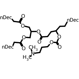 CCCCCCCCCCCCC(CCC(=O)OC(COC(=O)CCCCCCCCCCC)COC(=O)CCCCCCCCCCC)OC(=O)OCCCN(C)C